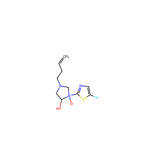 C=CCCN1CC(O)[N+]([O-])(c2ncc(F)s2)C1